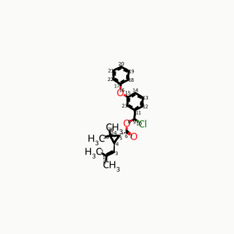 CC(C)=C[C@@H]1[C@@H](C(=O)OC(Cl)c2cccc(Oc3ccccc3)c2)C1(C)C